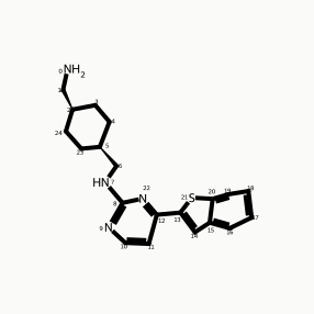 NC[C@H]1CC[C@@H](CNc2nccc(-c3cc4ccccc4s3)n2)CC1